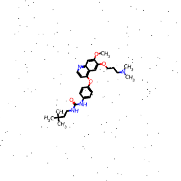 COc1cc2nccc(Oc3ccc(NC(=O)NCCC(C)(C)C)cc3)c2cc1OCCCN(C)C